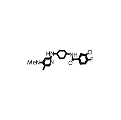 CNc1cc(NC2CCC(NC(=O)c3ccc(F)c(Cl)c3)CC2)ncc1C